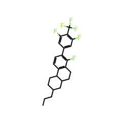 CCCC1CCC2c3ccc(-c4cc(F)c(C(F)(F)F)c(F)c4)c(F)c3CCC2C1